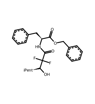 CCC[C@H](C)C(O)C(F)(F)C(=O)N[C@@H](Cc1ccccc1)C(=O)OCc1ccccc1